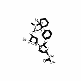 CC[C@H]1O[C@@H](n2ccc(NC(=O)C(C)C)nc2=O)CC1O[P@]1O[C@]2(c3ccccc3)CCCC[C@H]2N1C